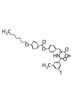 CCCCCCCOc1ccc(C(=O)Oc2ccc(C[C@H](NC(=O)c3cc(C)cc(I)c3)C(=O)O)cc2)cc1